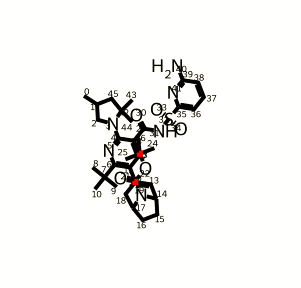 CC1CN(c2nc(C(C)(C)C)c(C3=CC4CCC(C3)N4C(=O)OC(C)(C)C)cc2C(=O)NS(=O)(=O)c2cccc(N)n2)C(C)(C)C1